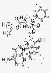 CC(C)OC(=O)[C@@H](C)NP(=O)(OC[C@H]1O[C@@](C#N)(n2ncc3c(N)ncnc32)[C@](C)(F)[C@@H]1O)Oc1ccccc1